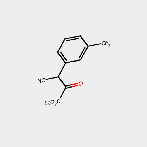 CCOC(=O)C(=O)C(C#N)c1cccc(C(F)(F)F)c1